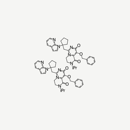 CC(C)N1CCn2c(CC3(n4ccc5cccnc54)CCCC3)nc(=O)c(OCc3ccccc3)c2C1=O.CC(C)N1CCn2c(CC3(n4ccc5cccnc54)CCCC3)nc(=O)c(OCc3ccccc3)c2C1=O